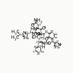 CC(C)c1nc(CN(C)C(=O)N[C@@H](CC(N)=O)C(=O)NC(CC[C@@H](Cc2ccccc2)NC(=O)OCc2cncs2)Cc2ccccc2)cs1